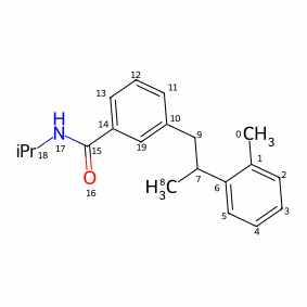 Cc1ccccc1C(C)Cc1cccc(C(=O)NC(C)C)c1